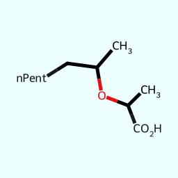 CCCCCCC(C)OC(C)C(=O)O